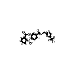 O=C(NCc1ncc(C(F)(F)F)s1)c1ccc2c(c1)NC(=O)c1ccccc1[S+]2[O-]